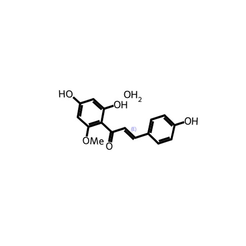 COc1cc(O)cc(O)c1C(=O)/C=C/c1ccc(O)cc1.O